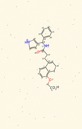 O=C(O)COc1cccc2c1CCC=C2CCC(=O)NC(c1ccccc1)c1cc[nH]c1